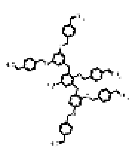 C=Cc1ccc(COc2cc(Cc3cc(C)cc(Cc4ccc(OCc5ccc(C=C)cc5)cc4OCc4ccc(C=C)cc4)c3OCc3ccc(C=C)cc3)cc(OCc3ccc(C=C)cc3)c2)cc1